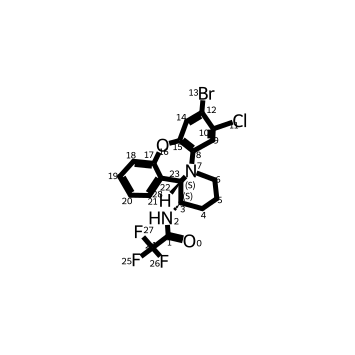 O=C(N[C@H]1CCCN2c3cc(Cl)c(Br)cc3Oc3ccccc3[C@@H]12)C(F)(F)F